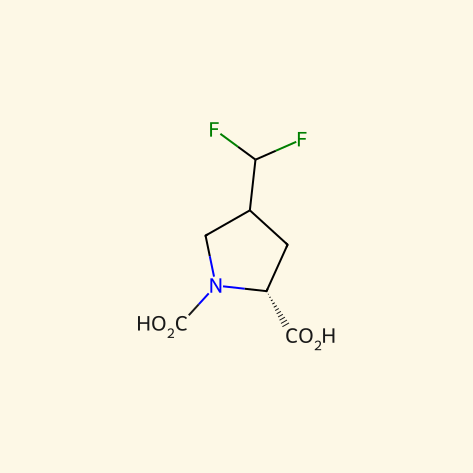 O=C(O)[C@H]1CC(C(F)F)CN1C(=O)O